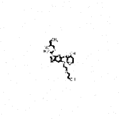 C=C(/N=C\C(C#N)=C/C)n1cnc2cc(OCCOCCO)c(NC3COCCC3O)nc21